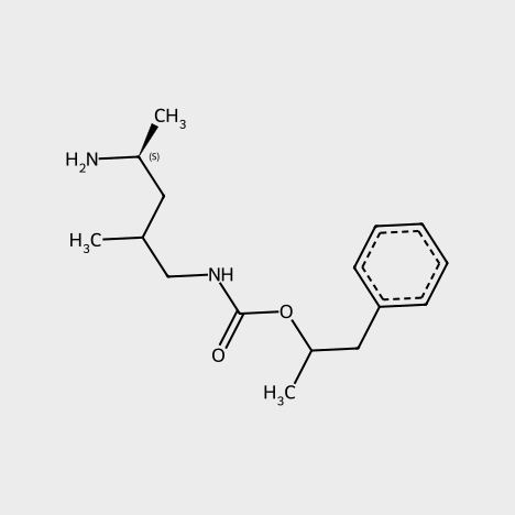 CC(CNC(=O)OC(C)Cc1ccccc1)C[C@H](C)N